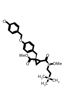 COC(=O)[C@@]1(Cc2ccc(OCc3ccc(Cl)cc3)cc2)CC1C(=O)N(CC[Si](C)(C)C)OC